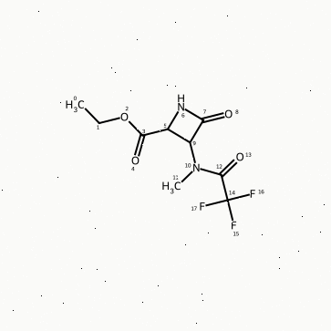 CCOC(=O)C1NC(=O)C1N(C)C(=O)C(F)(F)F